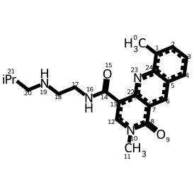 Cc1cccc2cc3c(=O)n(C)cc(C(=O)NCCNCC(C)C)c3nc12